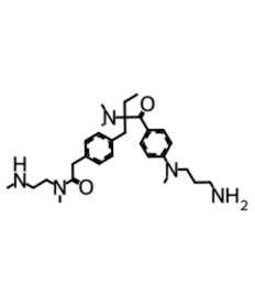 CCC(Cc1ccc(CC(=O)N(C)CCNC)cc1)(C(=O)c1ccc(N(C)CCCN)cc1)N(C)C